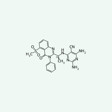 C[C@H](Nc1nc(N)nc(N)c1C#N)c1nc2cccc(S(C)(=O)=O)c2c(=O)n1-c1ccccc1